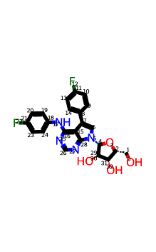 OC[C@H]1O[C@@H](n2cc(-c3ccc(F)cc3)c3c(Nc4ccc(F)cc4)ncnc32)[C@@H](O)[C@H]1O